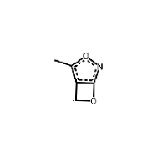 Cc1onc2c1[CH]O2